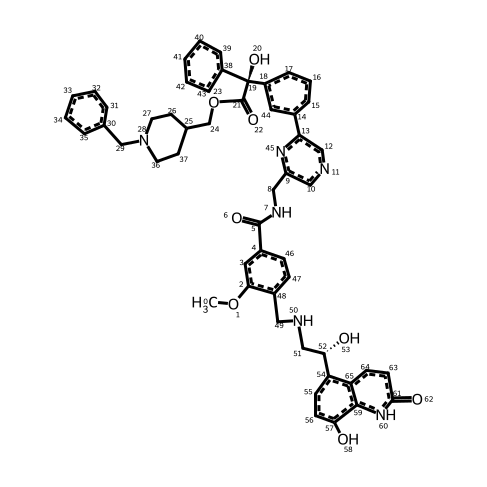 COc1cc(C(=O)NCc2cncc(-c3cccc([C@](O)(C(=O)OCC4CCN(Cc5ccccc5)CC4)c4ccccc4)c3)n2)ccc1CNC[C@H](O)c1ccc(O)c2[nH]c(=O)ccc12